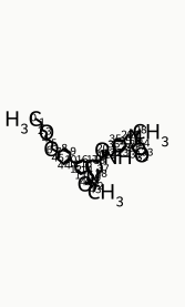 CCCOCCOc1ccc(-c2ccc3c(c2)C=C(C(=O)Nc2ccc(CN(C)C4CCOCC4)cc2)CCN3C(=O)CC)cc1